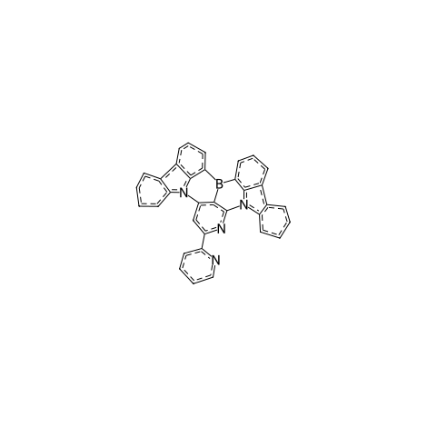 c1ccc(-c2cc3c4c(n2)-n2c5ccccc5c5cccc(c52)B4c2cccc4c5ccccc5n-3c24)nc1